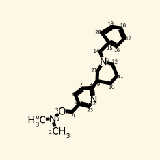 CN(C)OCc1ccc(C2CCCN(Cc3ccccc3)C2)nc1